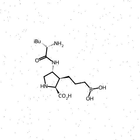 CC[C@@H](C)[C@H](N)C(=O)N[C@H]1CN[C@H](C(=O)O)[C@@H]1CCCB(O)O